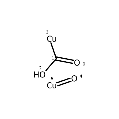 O=[C](O)[Cu].[O]=[Cu]